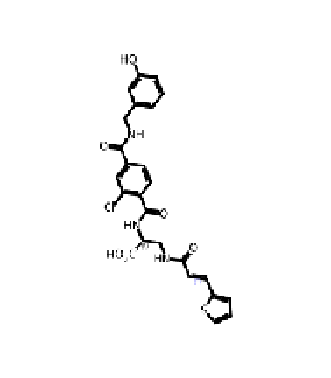 O=C(/C=C/c1cccs1)NC[C@H](NC(=O)c1ccc(C(=O)NCc2cccc(O)c2)cc1Cl)C(=O)O